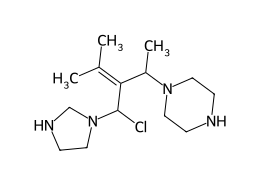 CC(C)=C(C(C)N1CCNCC1)C(Cl)N1CCNC1